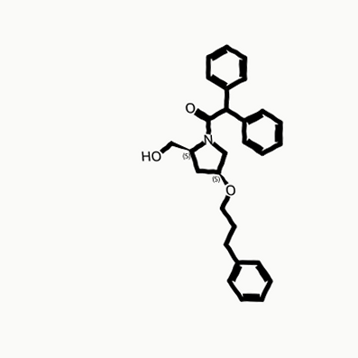 O=C(C(c1ccccc1)c1ccccc1)N1C[C@@H](OCCCc2ccccc2)C[C@H]1CO